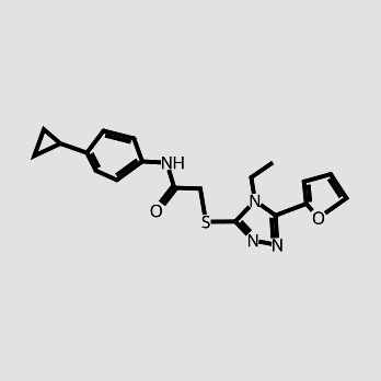 CCn1c(SCC(=O)Nc2ccc(C3CC3)cc2)nnc1-c1ccco1